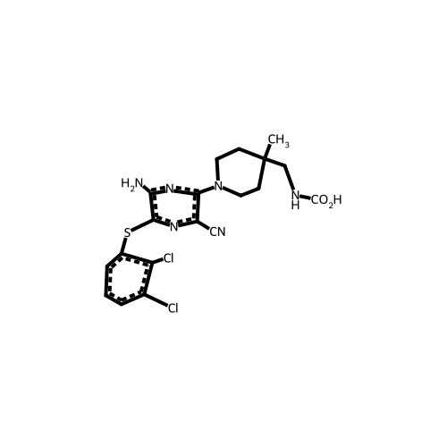 CC1(CNC(=O)O)CCN(c2nc(N)c(Sc3cccc(Cl)c3Cl)nc2C#N)CC1